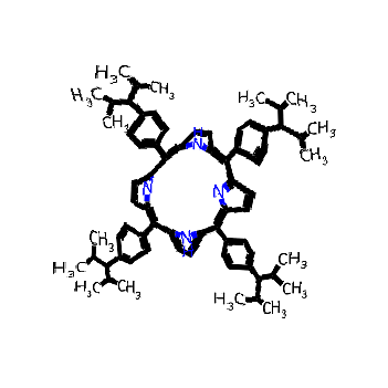 CC(C)C(c1ccc(-c2c3nc(c(-c4ccc(C(C(C)C)C(C)C)cc4)c4ccc([nH]4)c(-c4ccc(C(C(C)C)C(C)C)cc4)c4nc(c(-c5ccc(C(C(C)C)C(C)C)cc5)c5ccc2[nH]5)C=C4)C=C3)cc1)C(C)C